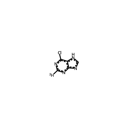 [2H]c1nc(Cl)c2[nH]cnc2n1